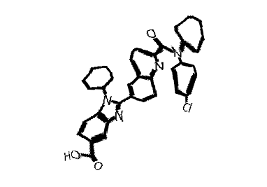 O=C(O)c1ccc2c(c1)nc(-c1ccc3nc(C(=O)N(c4ccc(Cl)cc4)C4CCCCC4)ccc3c1)n2C1CCCCC1